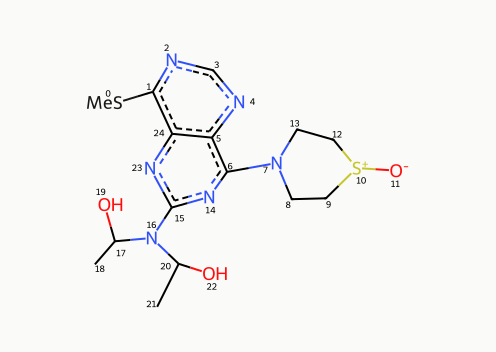 CSc1ncnc2c(N3CC[S+]([O-])CC3)nc(N(C(C)O)C(C)O)nc12